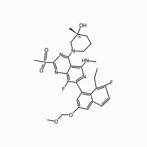 CCc1c(F)ccc2cc(OCOC)cc(-c3nc(NC)c4c(N5CCC[C@@](C)(O)C5)nc(S(C)(=O)=O)nc4c3F)c12